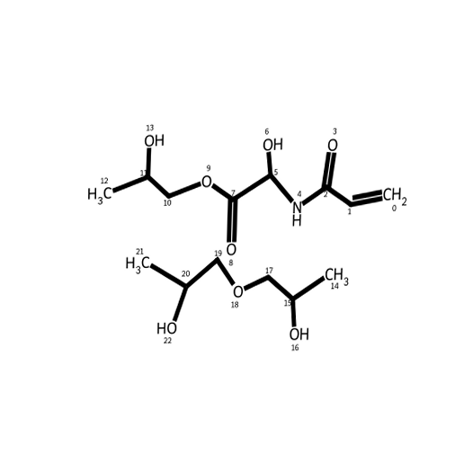 C=CC(=O)NC(O)C(=O)OCC(C)O.CC(O)COCC(C)O